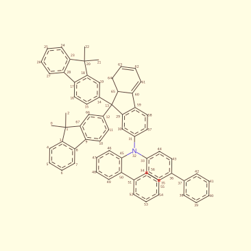 CC1(C)c2ccccc2-c2ccc(C3(c4ccc5c(c4)C(C)(C)c4ccccc4-5)c4cc(N(c5ccc(-c6ccccc6)cc5)c5ccccc5-c5ccccc5)ccc4C4=CC=CCC43)cc21